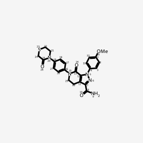 COc1ccc(-n2nc(C(N)=O)c3c2C(=O)N(c2ccc(N4CCSCC4=O)cc2)CC3)cc1